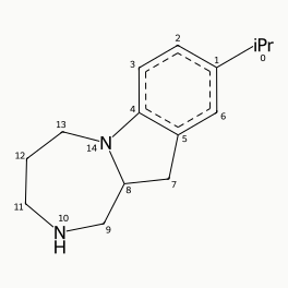 CC(C)c1ccc2c(c1)CC1CNCCCN21